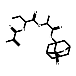 C=C(C)C(=O)OC(CC)C(=O)OC(C)C(=O)OC12CC3CC(C1)OC(=O)C(C3)C2